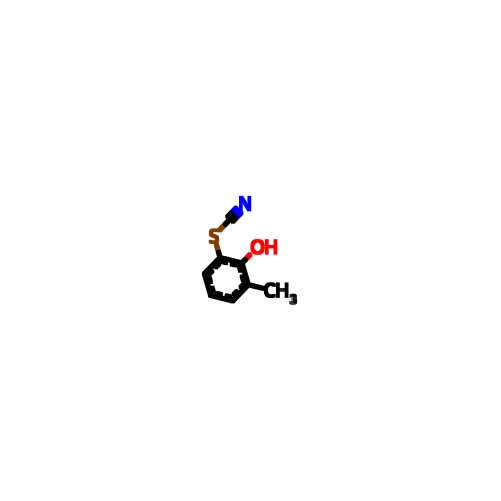 Cc1cccc(SC#N)c1O